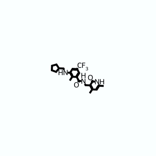 Cc1cc(C)c(CNC(=O)c2cc(C(F)(F)F)cc(NCC3CCCC3)c2C)c(=O)[nH]1